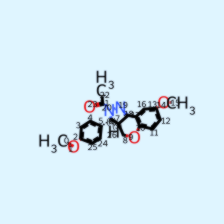 COc1ccc([C@H]2[C@@H]3COc4ccc(OC)cc4C3=NN2C(C)=O)cc1